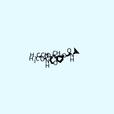 CN1C(=O)[C@@H](NC(=O)OC(C)(C)C)COc2ccc(OCC(=O)NC3CC3)cc21